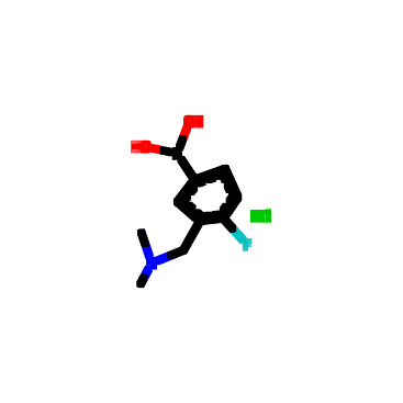 CN(C)Cc1cc(B(O)O)ccc1F.Cl